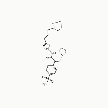 CS(=O)(=O)c1ccc(C(CC2CCCC2)C(=O)Nc2ncc(SCCN3CCCCC3)s2)cc1